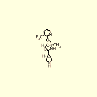 CC(C)(COc1ncccc1C(F)(F)F)NC(=O)C1C2CNC[C@H]21